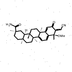 CO[C@@]1(C)C2=CC=C3[C@@](C)(CC[C@@]4(C)[C@@H]5C[C@](C)(C(N)=O)CC[C@]5(C)CC[C@]34C)C2=CC(=O)/C1=C\C#N